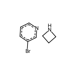 Brc1cccnc1.C1CNC1